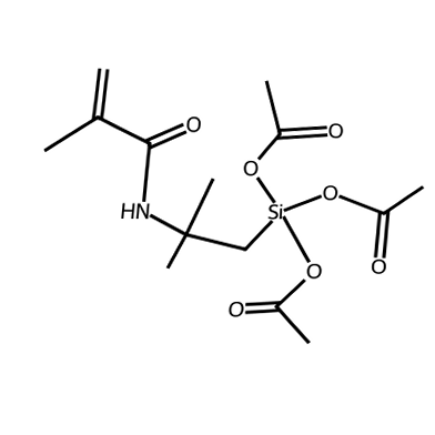 C=C(C)C(=O)NC(C)(C)C[Si](OC(C)=O)(OC(C)=O)OC(C)=O